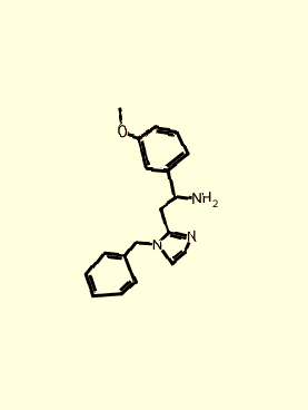 COc1cccc(C(N)Cc2nccn2Cc2ccccc2)c1